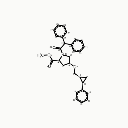 COC(=O)[C@@H]1C[C@H](OC[C@H]2C[C@H]2c2ccccc2)CN1C(=O)C(c1ccccc1)c1ccccc1